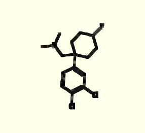 CN(C)CC1(c2ccc(Cl)c(Cl)c2)CCC(F)CC1